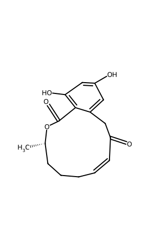 C[C@H]1CCC/C=C\C(=O)Cc2cc(O)cc(O)c2C(=O)O1